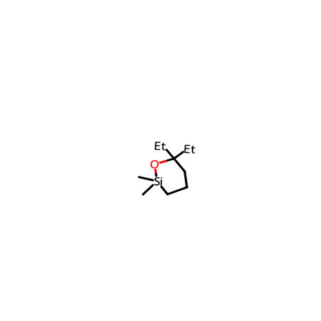 CCC1(CC)CCC[Si](C)(C)O1